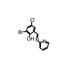 Oc1c(Br)cc(Cl)cc1C=Nc1ccccn1